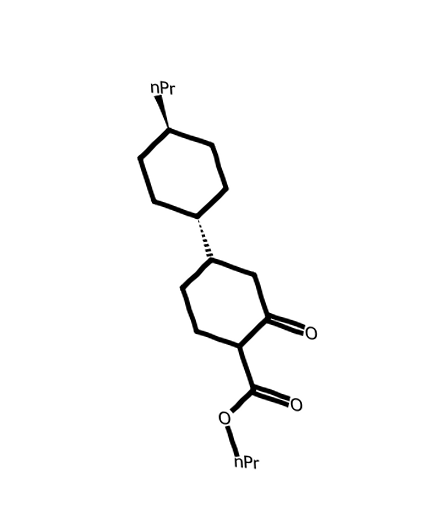 CCCOC(=O)C1CCC([C@H]2CC[C@H](CCC)CC2)CC1=O